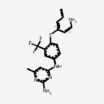 C=C/C=C(\C=C/N)Sc1ccc(Nc2cc(C)nc(N)n2)cc1C(F)(F)F